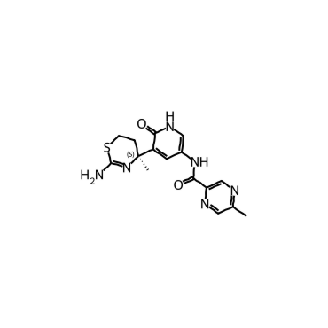 Cc1cnc(C(=O)Nc2c[nH]c(=O)c([C@]3(C)CCSC(N)=N3)c2)cn1